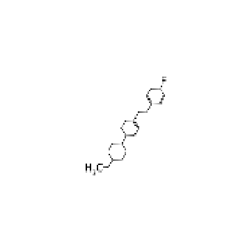 CCC1CCC(C2CC=C(CCc3ccc(F)cc3)CC2)CC1